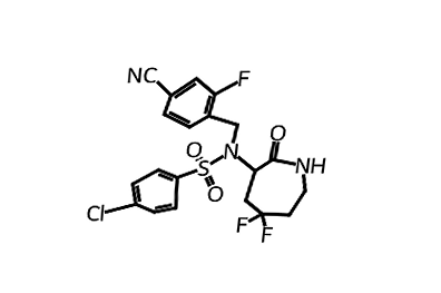 N#Cc1ccc(CN(C2CC(F)(F)CCNC2=O)S(=O)(=O)c2ccc(Cl)cc2)c(F)c1